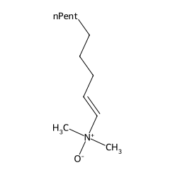 CCCCCCCCC=C[N+](C)(C)[O-]